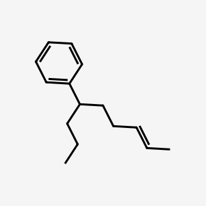 C/C=C/CCC(CCC)c1ccccc1